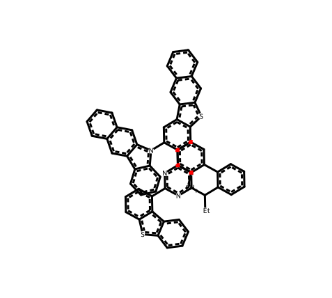 CCC(c1nc(-c2cc3sc4cc5ccccc5cc4c3cc2-n2c3ccccc3c3cc4ccccc4cc32)nc(-c2cccc3sc4ccccc4c23)n1)c1ccccc1-c1ccccc1C